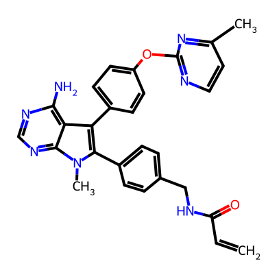 C=CC(=O)NCc1ccc(-c2c(-c3ccc(Oc4nccc(C)n4)cc3)c3c(N)ncnc3n2C)cc1